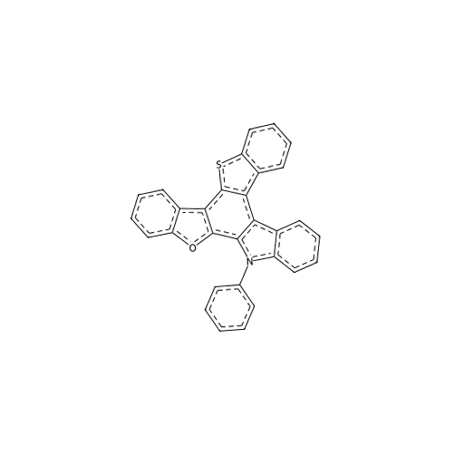 c1ccc(-n2c3ccccc3c3c4c5ccccc5sc4c4c5ccccc5oc4c32)cc1